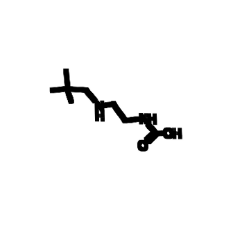 CC(C)(C)CNCCNC(=O)O